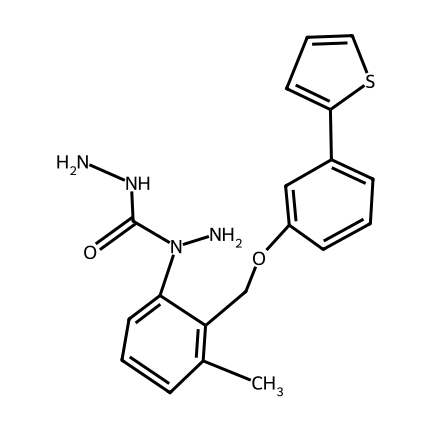 Cc1cccc(N(N)C(=O)NN)c1COc1cccc(-c2cccs2)c1